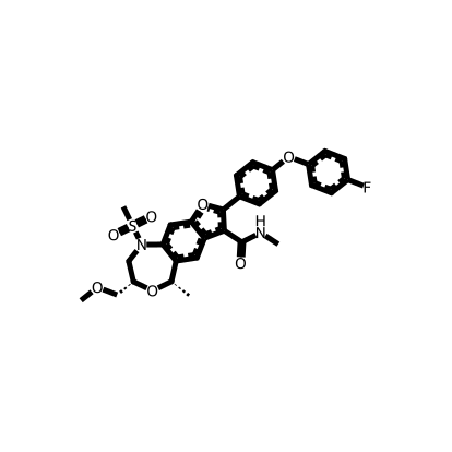 CNC(=O)c1c(-c2ccc(Oc3ccc(F)cc3)cc2)oc2cc3c(cc12)[C@H](C)O[C@H](COC)CN3S(C)(=O)=O